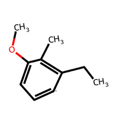 CCc1[c]ccc(OC)c1C